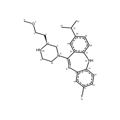 COCC[C@H]1CN(C2=Nc3cc(F)ccc3Nc3ccc(C(C)C)cc32)CCN1